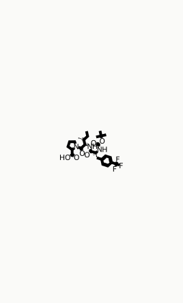 CC[C@@H](C)[C@H](NC(=O)[C@@H](Cc1ccc(C(F)(F)F)cc1)NC(=O)OC(C)(C)C)C(=O)N1CCCC1C(=O)O